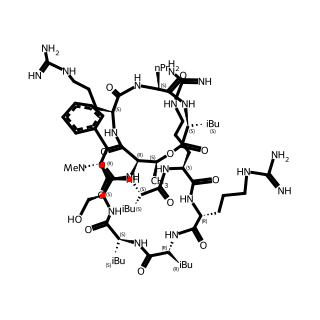 CCC[C@@H]1NC(=O)[C@H](CCCNC(=N)N)NC(=O)[C@H](NC(=O)[C@H](CO)NC(=O)[C@@H](NC(=O)[C@H](NC(=O)[C@@H](CCCNC(=N)N)NC(=O)[C@H](CCCNC(=N)N)NC(=O)[C@@H](NC(=O)[C@@H](Cc2ccccc2)NC)[C@@H](C)CC)[C@H](C)CC)[C@@H](C)CC)[C@H](C)OC(=O)[C@H]([C@@H](C)CC)NC1=O